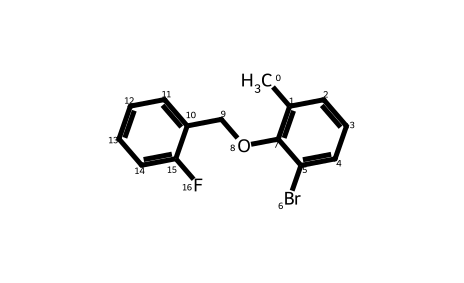 Cc1cccc(Br)c1OCc1ccccc1F